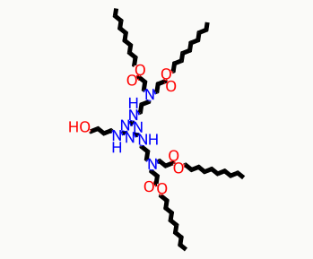 CCCCCCCCCCOC(=O)CCN(CCCNc1nc(NCCCCO)nc(NCCCN(CCC(=O)OCCCCCCCCCC)CCC(=O)OCCCCCCCCCC)n1)CCC(=O)OCCCCCCCCCC